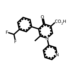 Cc1c(-c2cccc(C(F)F)c2)c(=O)c(C(=O)O)cn1-c1cccnc1